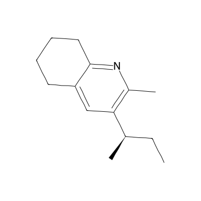 CC[C@@H](C)c1cc2c(nc1C)CCCC2